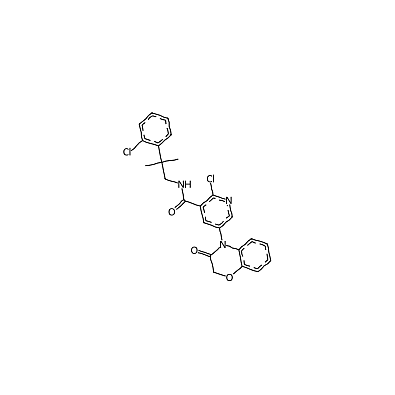 CC(C)(CNC(=O)c1cc(N2C(=O)COc3ccccc32)cnc1Cl)c1ccccc1Cl